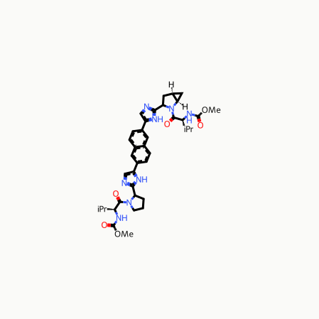 COC(=O)N[C@H](C(=O)N1CCCC1c1ncc(-c2ccc3cc(-c4cnc(C5C[C@H]6C[C@H]6N5C(=O)[C@@H](NC(=O)OC)C(C)C)[nH]4)ccc3c2)[nH]1)C(C)C